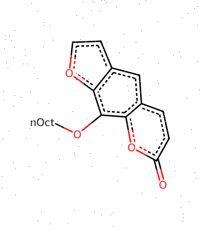 CCCCCCCCOc1c2occc2cc2ccc(=O)oc12